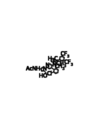 CC(=O)Nc1cc(CO)n(-c2cc(-c3ccccc3Cl)c(N(C)C(=O)C(C)(C)c3cc(C(F)(F)F)cc(C(F)(F)F)c3)cn2)c1